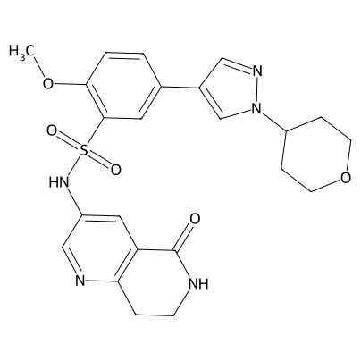 COc1ccc(-c2cnn(C3CCOCC3)c2)cc1S(=O)(=O)Nc1cnc2c(c1)C(=O)NCC2